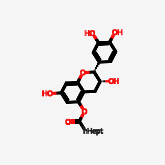 CCCCCCCC(=O)Oc1cc(O)cc2c1C[C@@H](O)[C@@H](c1ccc(O)c(O)c1)O2